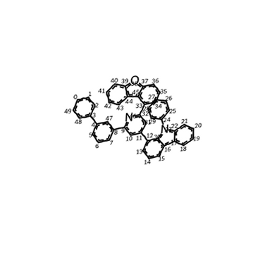 c1ccc(-c2cccc(-c3cc(-c4cccc5c6ccccc6n(-c6ccccc6)c45)cc(-c4cccc5oc6ccccc6c45)n3)c2)cc1